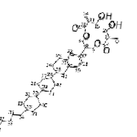 C=C(CO)C(=O)OCC(COC(=O)C(=C)CO)c1ccc2c(c1)CCC(C1CCC(C3CCC(CCCCC)CC3)CC1)C2